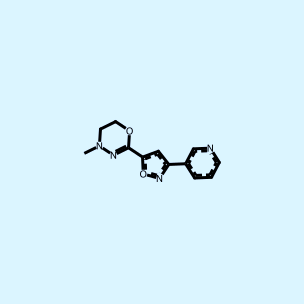 CN1CCOC(c2cc(-c3cccnc3)no2)=N1